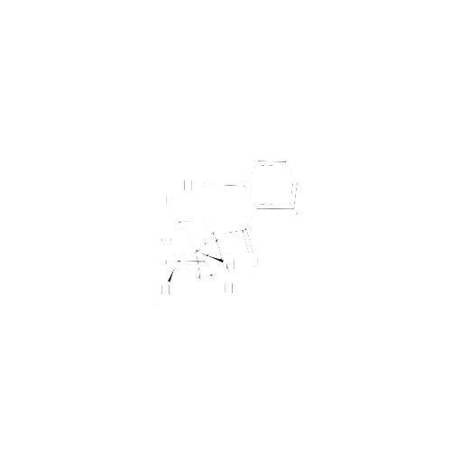 CC1C2C[C@@H]3O[C@H]1C(O2)[C@H]3OC(=O)c1ccccc1C(=O)O